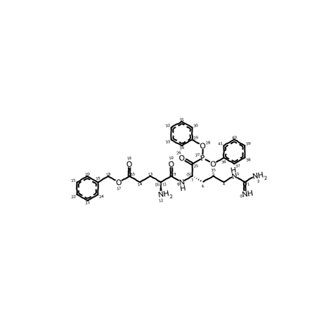 N=C(N)NCCC[C@H](NC(=O)[C@@H](N)CCC(=O)OCc1ccccc1)C(=O)P(Oc1ccccc1)Oc1ccccc1